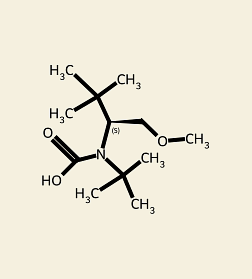 COC[C@@H](N(C(=O)O)C(C)(C)C)C(C)(C)C